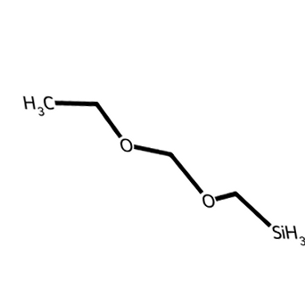 CCOCOC[SiH3]